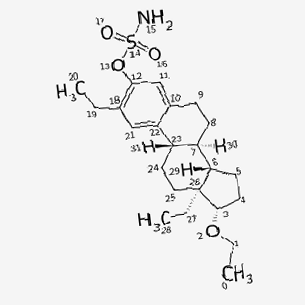 CCO[C@H]1CC[C@H]2[C@@H]3CCc4cc(OS(N)(=O)=O)c(CC)cc4[C@H]3CC[C@]12CC